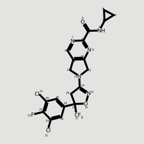 O=C(NC1CC1)c1ncc2c(n1)CN(C1=NOC(c3cc(Cl)c(F)c(Cl)c3)(C(F)(F)F)C1)C2